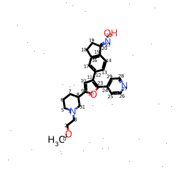 COCCN1CCCC(c2cc(-c3ccc4c(c3)CCC4=NO)c(-c3ccncc3)o2)C1